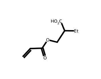 C=CC(=O)OCC(CC)C(=O)O